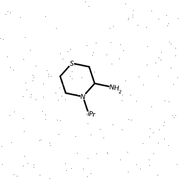 CC(C)N1CCSCC1N